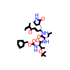 C/C=C(/C)C(=O)/C=C/[C@H](C[C@@H]1CCNC1=O)NC(=O)[C@H](CCC)NC(=O)[C@@H](NC(=O)OCc1ccccc1)C(C)OC(C)(C)C